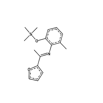 CC(=Nc1c(C)cccc1O[Si](C)(C)C)c1ccco1